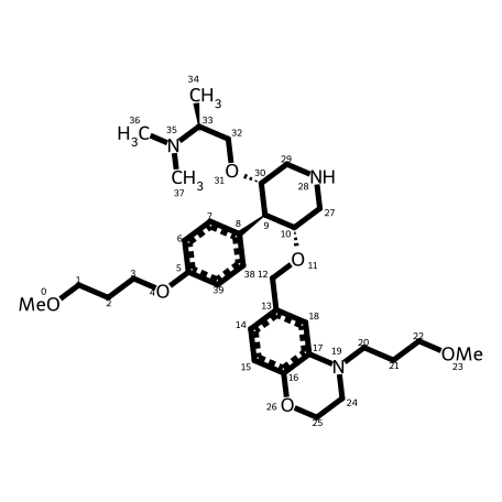 COCCCOc1ccc([C@@H]2[C@@H](OCc3ccc4c(c3)N(CCCOC)CCO4)CNC[C@H]2OC[C@H](C)N(C)C)cc1